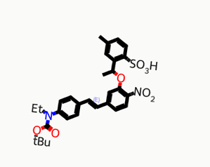 CCN(C(=O)OC(C)(C)C)c1ccc(/C=C/c2ccc([N+](=O)[O-])c(OC(C)c3cc(C)ccc3S(=O)(=O)O)c2)cc1